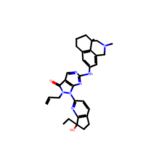 C=CCn1c(=O)c2cnc(Nc3cc4c5c(c3)CN(C)CC5(C)CCC4)nc2n1-c1ccc2c(n1)C(O)(CC)CC2